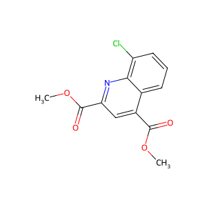 COC(=O)c1cc(C(=O)OC)c2cccc(Cl)c2n1